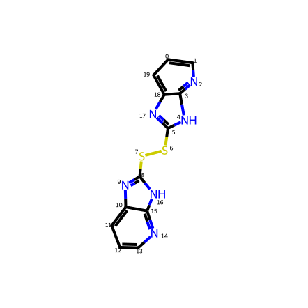 c1cnc2[nH]c(SSc3nc4cccnc4[nH]3)nc2c1